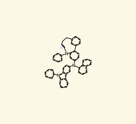 C1=C/N(c2ccccc2)c2cc(N(c3ccc4c(c3)c3ccccc3n4-c3ccccc3)c3cccc4ccccc34)ccc2-c2cccc(c2)CC/1